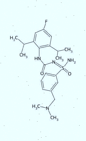 CC(C)c1cc(F)cc(C(C)C)c1NC(=O)N=S(N)(=O)c1cccc(CN(C)C)c1